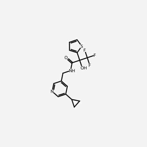 O=C(NCc1cncc(C2CC2)c1)C(O)(c1cccs1)C(F)(F)F